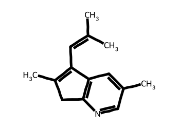 CC(C)=CC1=C(C)Cc2ncc(C)cc21